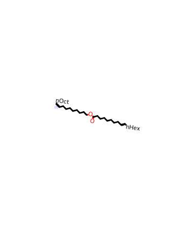 CCCCCCC=CCCCCCCCC(=O)OCCCCCCCC/C=C\CCCCCCCC